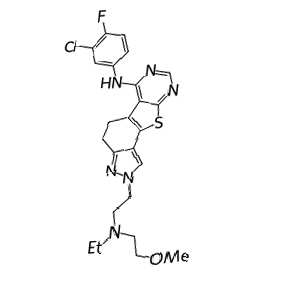 CCN(CCOC)CCn1cc2c(n1)CCc1c-2sc2ncnc(Nc3ccc(F)c(Cl)c3)c12